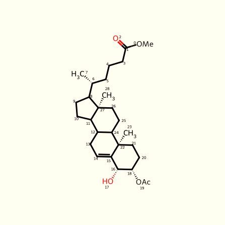 COC(=O)CCC[C@@H](C)C1CCC2C3CC=C4[C@@H](O)[C@@H](OC(C)=O)CC[C@]4(C)C3CC[C@@]21C